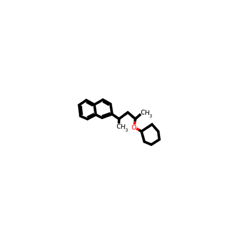 CC(CC(C)c1ccc2ccccc2c1)OC1CCCCC1